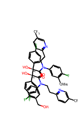 COc1cc(N(CCc2ccc(C(F)(F)F)cn2)C(=O)[C@@](O)(c2ccc(F)cc2)[C@](O)(C(=O)N(CCc2ccc(C(F)(F)F)cn2)c2ccc(F)c(CO)c2)c2ccc(F)cc2)ccc1F